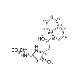 CCOC(=O)Nc1cc(=O)n(CC(O)c2cccc3ccccc23)[nH]1